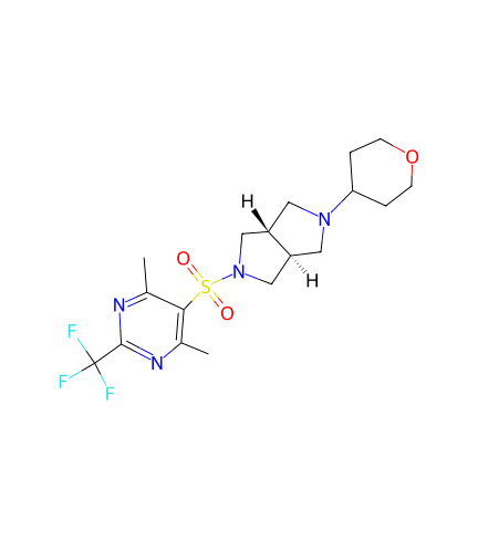 Cc1nc(C(F)(F)F)nc(C)c1S(=O)(=O)N1C[C@@H]2CN(C3CCOCC3)C[C@H]2C1